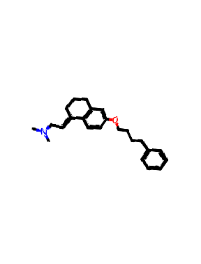 CN(C)CC=C1CCCc2cc(OCCCCc3ccccc3)ccc21